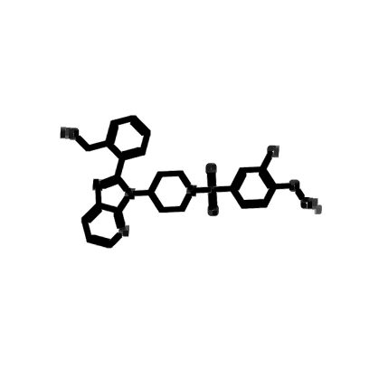 COc1ccc(S(=O)(=O)N2CCC(n3c(-c4ccccc4CO)nc4cccnc43)CC2)cc1Cl